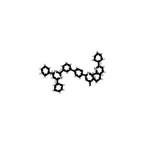 Cc1cc(-c2ccc(-c3cccc(-c4nc(-c5ccccc5)cc(-c5ccccc5)n4)c3)cc2)nc2c1ccc1ccc(-c3ccccc3)nc12